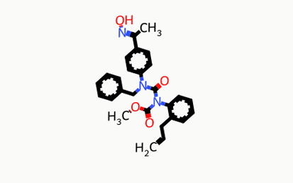 C=CCc1ccccc1N(C(=O)OC)C(=O)N(Cc1ccccc1)c1ccc(C(C)=NO)cc1